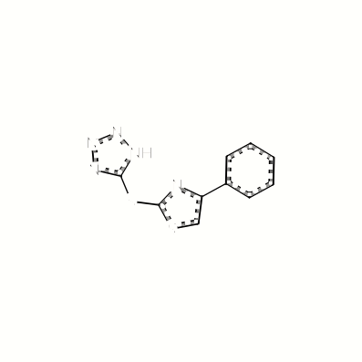 c1ccc(-c2csc(Sc3nnn[nH]3)n2)cc1